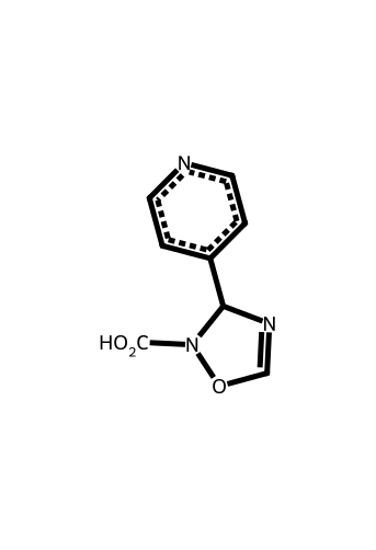 O=C(O)N1OC=NC1c1ccncc1